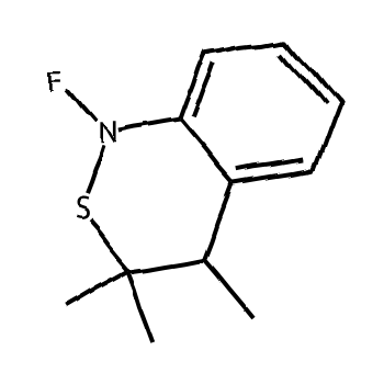 CC1c2ccccc2N(F)SC1(C)C